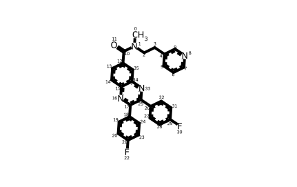 CN(CCc1cccnc1)C(=O)c1ccc2nc(-c3ccc(F)cc3)c(-c3ccc(F)cc3)nc2c1